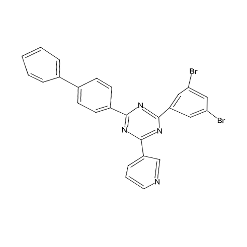 Brc1cc(Br)cc(-c2nc(-c3ccc(-c4ccccc4)cc3)nc(-c3cccnc3)n2)c1